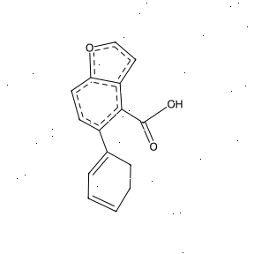 O=C(O)c1c(C2=CC=CCC2)ccc2occc12